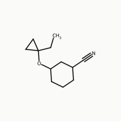 CCC1(OC2CCCC(C#N)C2)CC1